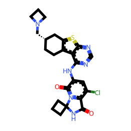 O=C1NC2(CCC2)n2c1c(Cl)cc(Nc1ncnc3sc4c(c13)CC[C@H](CN1CCC1)C4)c2=O